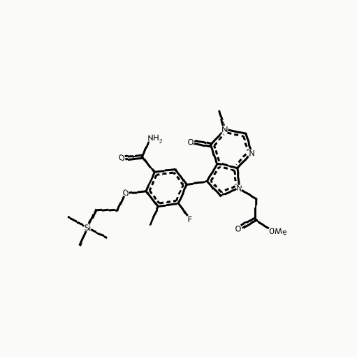 COC(=O)Cn1cc(-c2cc(C(N)=O)c(OCC[Si](C)(C)C)c(C)c2F)c2c(=O)n(C)cnc21